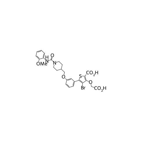 COc1ccccc1NC(=O)N1CCC(COc2cccc(-c3sc(C(=O)O)c(OCC(=O)O)c3Br)c2)CC1